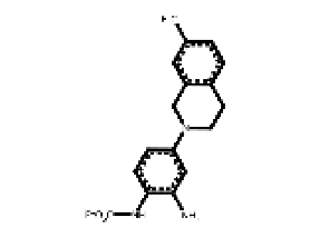 CCOC(=O)Nc1ccc(N2CCc3ccc(C(F)(F)F)cc3C2)cc1N